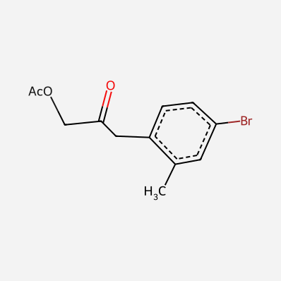 CC(=O)OCC(=O)Cc1ccc(Br)cc1C